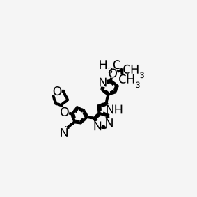 CC(C)(C)Oc1ccc(-c2cc3c(-c4ccc(OC5CCOCC5)c(C#N)c4)ncnc3[nH]2)cn1